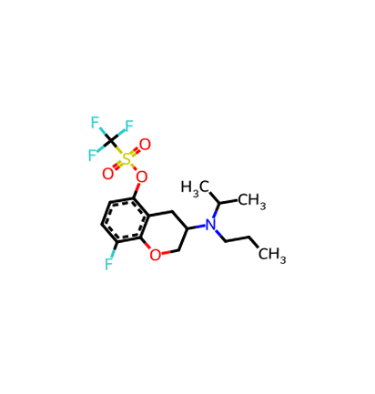 CCCN(C(C)C)C1COc2c(F)ccc(OS(=O)(=O)C(F)(F)F)c2C1